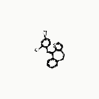 Clc1ccc(C=C2c3ccccc3CCc3ccsc32)c(Cl)c1